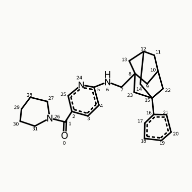 O=C(c1ccc(NCC23CC4CC(C2)CC(c2ccccc2)(C4)C3)nc1)N1CCCCC1